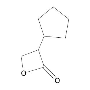 O=C1OCC1C1CCCC1